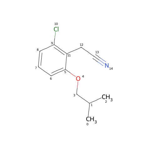 CC(C)COc1cccc(Cl)c1CC#N